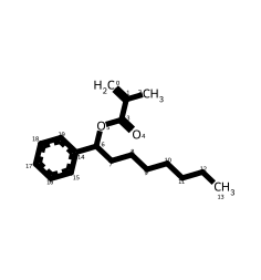 C=C(C)C(=O)OC(CCCCCCC)c1ccccc1